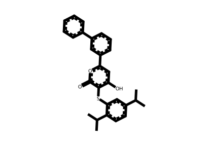 CC(C)c1ccc(C(C)C)c(Sc2c(O)cc(-c3cccc(-c4ccccc4)c3)oc2=O)c1